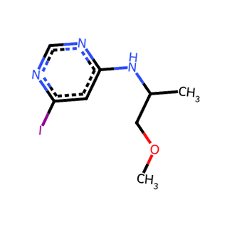 COCC(C)Nc1cc(I)ncn1